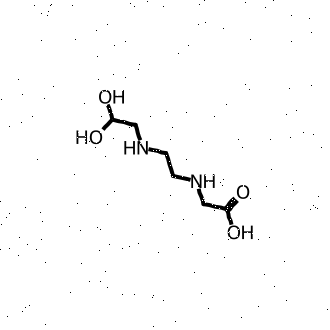 O=C(O)CNCCNCC(O)O